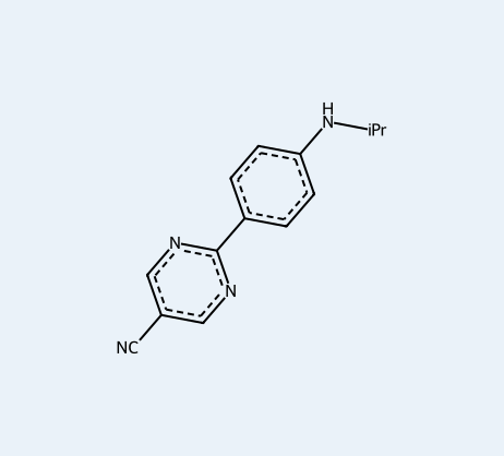 CC(C)Nc1ccc(-c2ncc(C#N)cn2)cc1